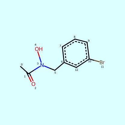 CC(=O)N(O)Cc1cccc(Br)c1